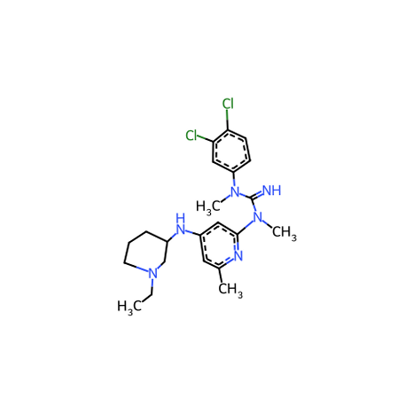 CCN1CCCC(Nc2cc(C)nc(N(C)C(=N)N(C)c3ccc(Cl)c(Cl)c3)c2)C1